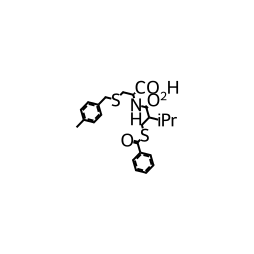 Cc1ccc(CSC[C@H](NC(=O)C(CSC(=O)c2ccccc2)C(C)C)C(=O)O)cc1